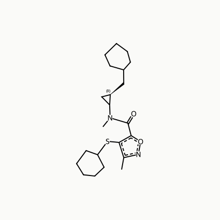 Cc1noc(C(=O)N(C)C2C[C@H]2CC2CCCCC2)c1SC1CCCCC1